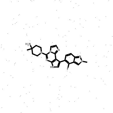 Cn1cc2c(F)c(-c3c[nH]c4nc(N5CCC(C)(N)CC5)n5ccnc5c34)ccc2n1